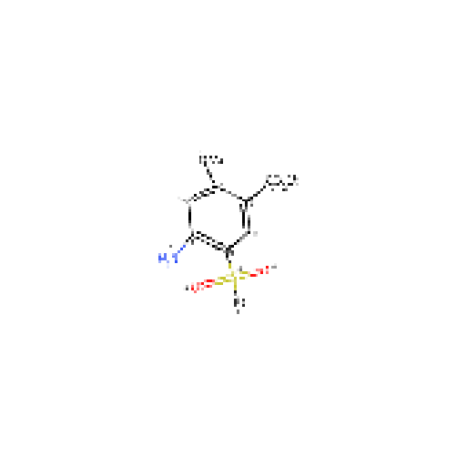 CCOC(=O)c1cc(S(=O)(=O)CC)c(N)cc1OC